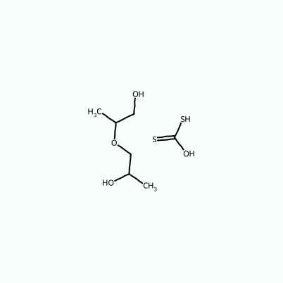 CC(O)COC(C)CO.OC(=S)S